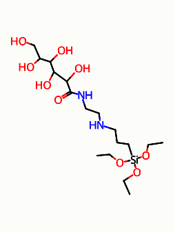 CCO[Si](CCCNCCNC(=O)C(O)C(O)C(O)C(O)CO)(OCC)OCC